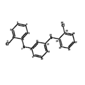 Clc1ccccc1Sc1cccc(Sc2ccccc2Cl)c1